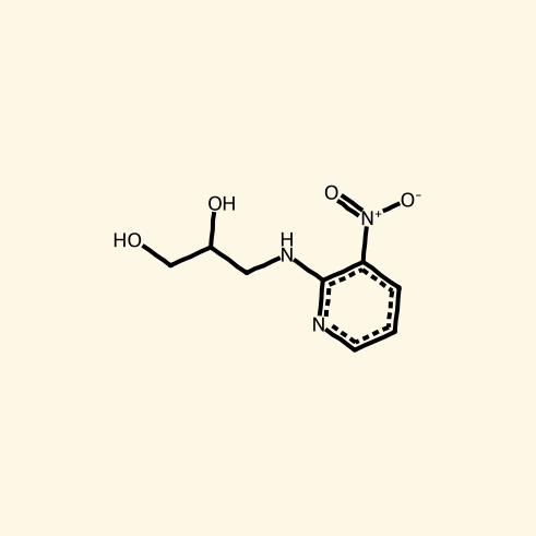 O=[N+]([O-])c1cccnc1NCC(O)CO